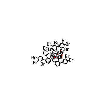 O=P(Oc1cccc(-c2ccc(Br)c(Br)c2Br)c1-c1ccc(Br)c(Br)c1Br)(Oc1cccc(-c2ccc(Br)c(Br)c2Br)c1-c1ccc(Br)c(Br)c1Br)Oc1cccc(-c2ccc(Br)c(Br)c2Br)c1-c1ccc(Br)c(Br)c1Br